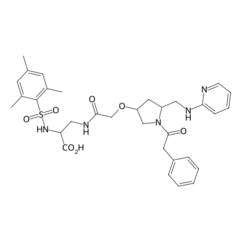 Cc1cc(C)c(S(=O)(=O)NC(CNC(=O)COC2CC(CNc3ccccn3)N(C(=O)Cc3ccccc3)C2)C(=O)O)c(C)c1